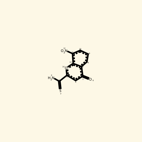 NC(=S)c1cc(=O)c2cccc([N+](=O)[O-])c2o1